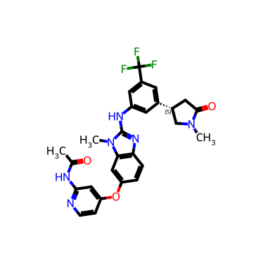 CC(=O)Nc1cc(Oc2ccc3nc(Nc4cc([C@@H]5CC(=O)N(C)C5)cc(C(F)(F)F)c4)n(C)c3c2)ccn1